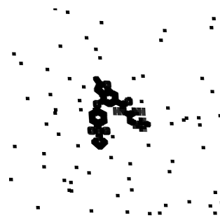 CN/N=C\C(=N)NC(=O)c1cc(Oc2ccc(S(=O)(=O)N3CCC3)cc2)c2cc(C)oc2c1